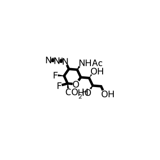 CC(=O)N[C@H]1C([C@H](O)[C@H](O)CO)O[C@@](F)(C(=O)O)[C@@H](F)C1N=[N+]=[N-]